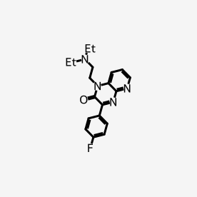 CCN(CC)CCn1c(=O)c(-c2ccc(F)cc2)nc2ncccc21